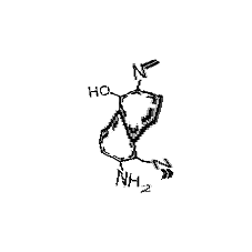 C=Nc1ccc2c(N=C)c(N)ccc2c1O